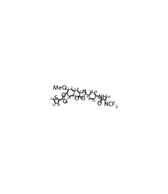 COc1cc(/C=C2/N=C(c3ccc(NC(=O)[C@H](C)NC(F)(F)F)cc3)OC2=O)ccc1OC(=O)c1cccs1